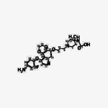 CC1(NC(=O)O)CCN(CCCOc2cc3nccc(Oc4ccc(N)cc4F)c3c3c2OCCO3)CC1